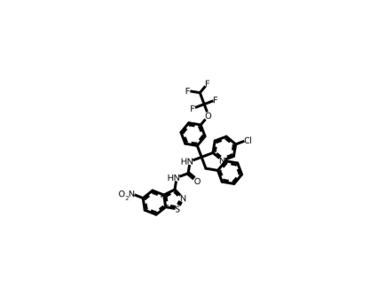 O=C(Nc1nsc2ccc([N+](=O)[O-])cc12)NC(Cc1ccccc1)(c1cccc(OC(F)(F)C(F)F)c1)c1ccc(Cl)cn1